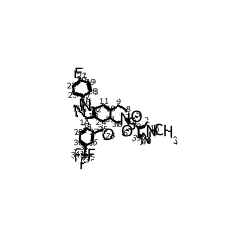 Cn1cc(S(=O)(=O)N2CCC3=Cc4c(cnn4-c4ccc(F)cc4)[C@@H](C(=O)c4cccc(C(F)(F)F)c4)C3C2)cn1